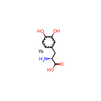 N[C@@H](Cc1ccc(O)c(O)c1)C(=O)O.[Yb]